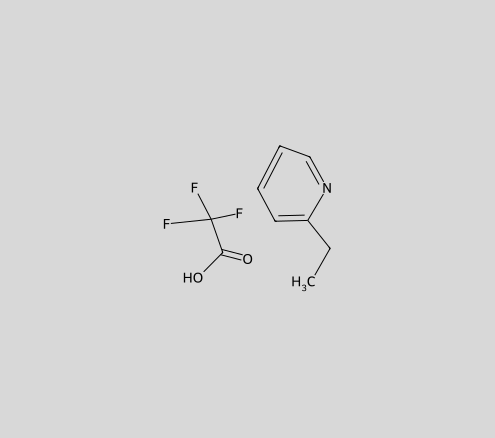 CCc1ccccn1.O=C(O)C(F)(F)F